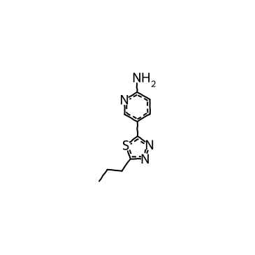 CCCc1nnc(-c2ccc(N)nc2)s1